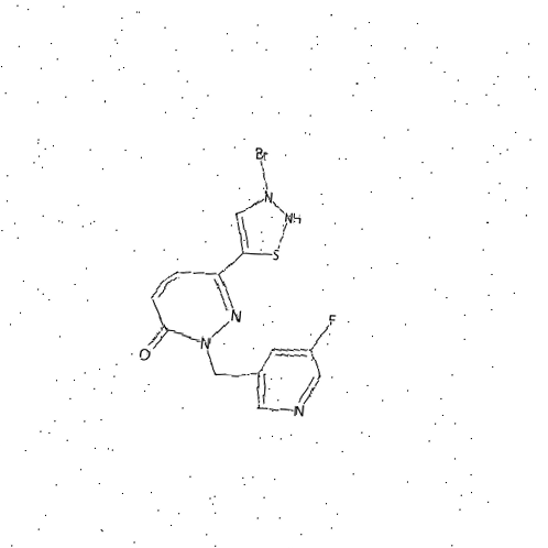 O=c1ccc(C2=CN(Br)NS2)nn1Cc1cncc(F)c1